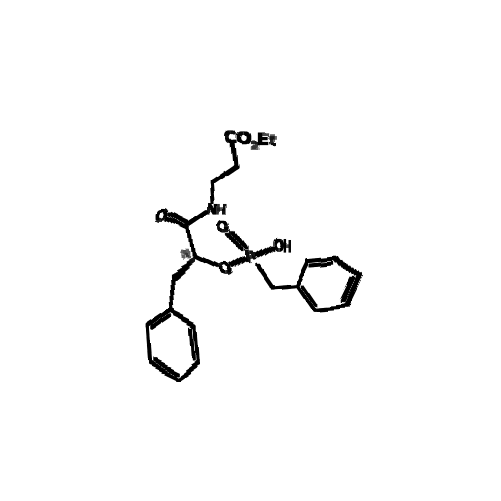 CCOC(=O)CCNC(=O)[C@H](Cc1ccccc1)OP(=O)(O)Cc1ccccc1